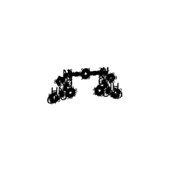 O=C(N[C@@H](C(=O)N1CCC[C@H]1c1ncc(C#Cc2ccc(C#Cc3cnc([C@@H]4CCCN4C(=O)[C@H](NC(=O)N4CCOCC4)c4ccccc4)[nH]3)cc2)[nH]1)c1ccccc1)N1CCOCC1